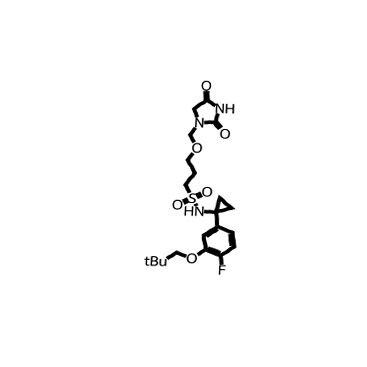 CC(C)(C)COc1cc(C2(NS(=O)(=O)CCCOCN3CC(=O)NC3=O)CC2)ccc1F